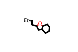 [CH2]CC=CC1CC2CCCCC2O1